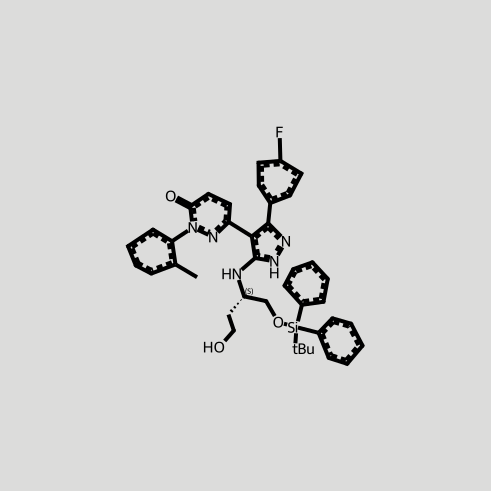 Cc1ccccc1-n1nc(-c2c(-c3ccc(F)cc3)n[nH]c2N[C@@H](CCO)CO[Si](c2ccccc2)(c2ccccc2)C(C)(C)C)ccc1=O